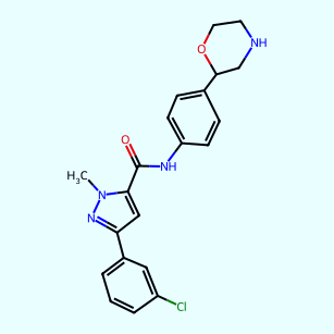 Cn1nc(-c2cccc(Cl)c2)cc1C(=O)Nc1ccc(C2CNCCO2)cc1